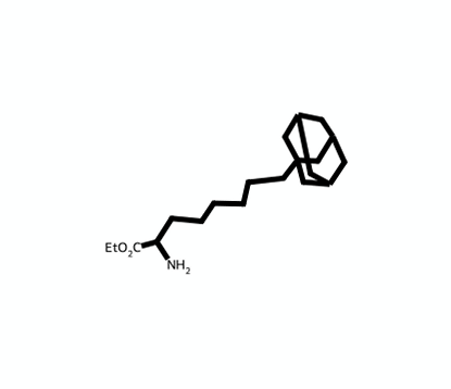 CCOC(=O)C(N)CCCCCCC12CC3CC(CC(C3)C1)C2